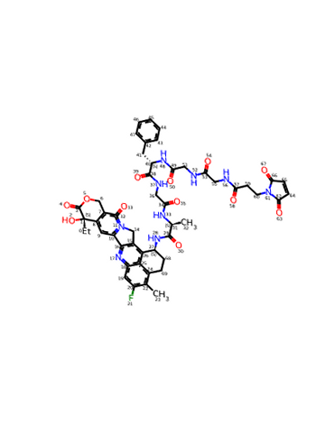 CC[C@@]1(O)C(=O)OCc2c1cc1n(c2=O)Cc2c-1nc1cc(F)c(C)c3c1c2[C@@H](NC(=O)[C@H](C)NC(=O)CNC(=O)[C@H](Cc1ccccc1)NC(=O)CNC(=O)CNC(=O)CCN1C(=O)C=CC1=O)CC3